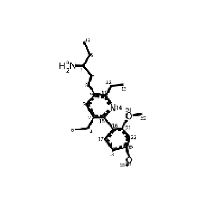 CCc1cc(CCC(N)CC)c(CC)nc1-c1ccc(OC)cc1OC